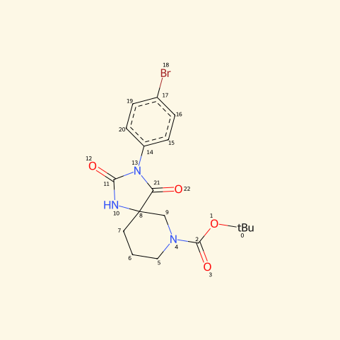 CC(C)(C)OC(=O)N1CCCC2(C1)NC(=O)N(c1ccc(Br)cc1)C2=O